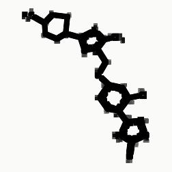 Cc1nc(C2CCC(C(F)(F)F)CC2)oc1COc1ccc(-c2noc(=O)[nH]2)c(Cl)c1